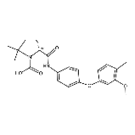 COc1cc(Oc2ccc(NC(=O)[C@@H](C)N(C(=O)O)C(C)(C)C)cc2)ccc1C